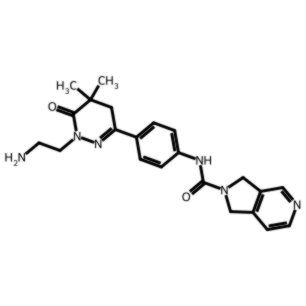 CC1(C)CC(c2ccc(NC(=O)N3Cc4ccncc4C3)cc2)=NN(CCN)C1=O